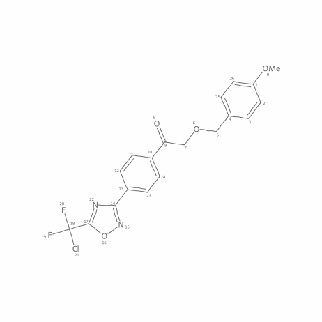 COc1ccc(COCC(=O)c2ccc(-c3noc(C(F)(F)Cl)n3)cc2)cc1